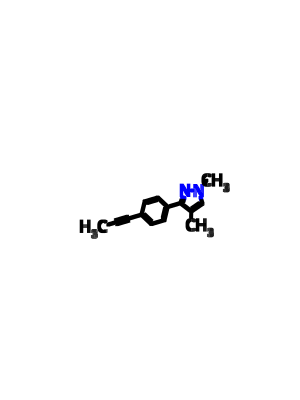 CC#Cc1ccc(-c2nn(C)cc2C)cc1